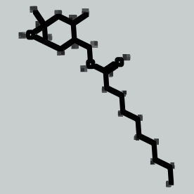 CCCCCCCCCC(=O)OCC1CC2OC2(C)CC1C